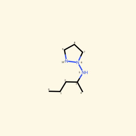 CCCC(C)NN1CCC[N]1